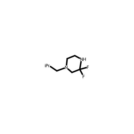 CC(C)CN1CCNC(F)(F)C1